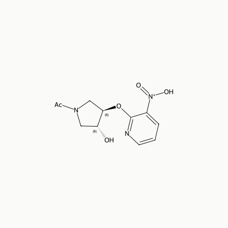 CC(=O)N1C[C@@H](O)[C@H](Oc2ncccc2[N+](=O)O)C1